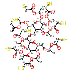 C=C(CS)OC(C)OCC1OC(OC(C)OC(=O)CS)C(OC(C)OC(=O)CS)C(OC(C)OC(=O)CS)C1COCC1OC(COC(C)OC(=O)CS)C(OC(C)OC(=O)CS)C(OC(C)OC(=O)CS)C1OC(C)OC(=O)CS